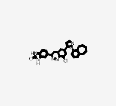 O=c1[nH]c2ccc(C3CC4CC(c5ccnn5-c5cccc6c5C=C=CC=C6)=CC(Cl)=C4N=N3)cc2[nH]1